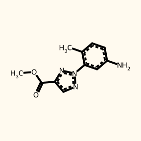 COC(=O)c1cnn(-c2cc(N)ccc2C)n1